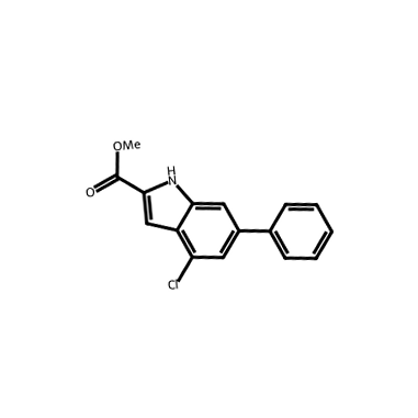 COC(=O)c1cc2c(Cl)cc(-c3ccccc3)cc2[nH]1